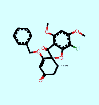 COc1cc(OC)c2c(c1Cl)O[C@]1(C2=O)C(OCc2ccccc2)=CC(=O)C[C@H]1C